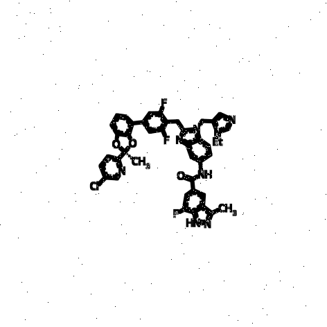 CCn1cncc1Cn1c(Cc2c(F)cc(-c3cccc4c3O[C@@](C)(c3ccc(Cl)cn3)O4)cc2F)nc2cc(NC(=O)c3cc(F)c4[nH]nc(C)c4c3)ccc21